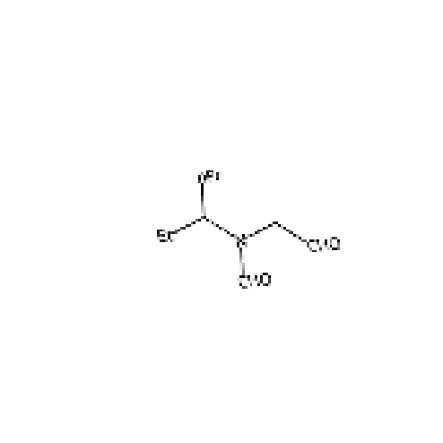 CCCC(CC)N(C=O)CC=O